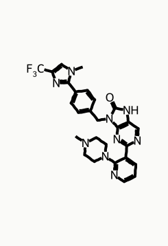 CN1CCN(c2ncccc2-c2ncc3[nH]c(=O)n(Cc4ccc(-c5nc(C(F)(F)F)cn5C)cc4)c3n2)CC1